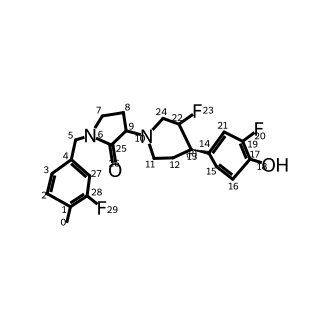 Cc1ccc(CN2CCC(N3CC[C@H](c4ccc(O)c(F)c4)C(F)C3)C2=O)cc1F